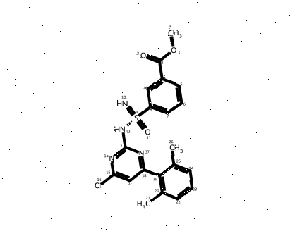 COC(=O)c1cccc([S@](=N)(=O)Nc2nc(Cl)cc(-c3c(C)cccc3C)n2)c1